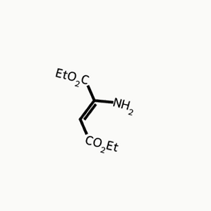 CCOC(=O)C=C(N)C(=O)OCC